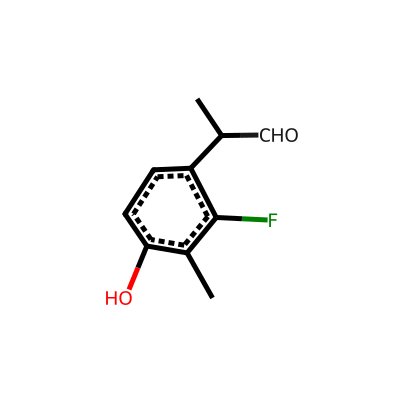 Cc1c(O)ccc(C(C)C=O)c1F